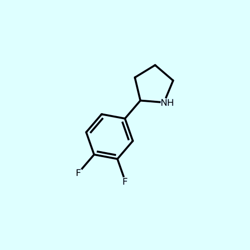 Fc1ccc(C2CCCN2)cc1F